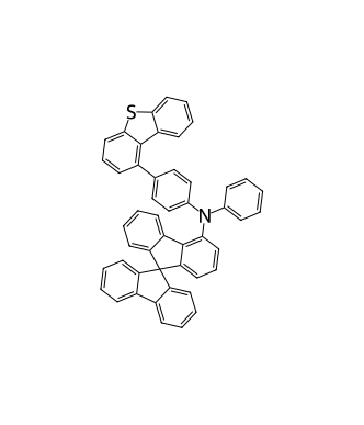 c1ccc(N(c2ccc(-c3cccc4sc5ccccc5c34)cc2)c2cccc3c2-c2ccccc2C32c3ccccc3-c3ccccc32)cc1